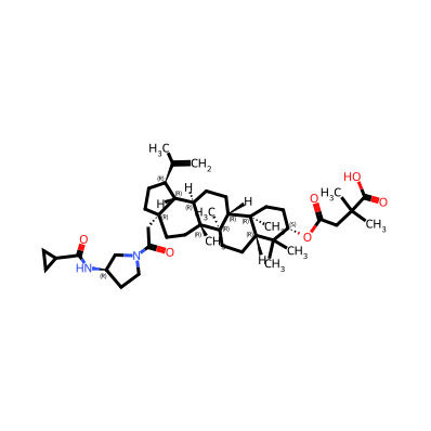 C=C(C)[C@@H]1CC[C@]2(CC(=O)N3CC[C@@H](NC(=O)C4CC4)C3)CC[C@]3(C)[C@H](CC[C@@H]4[C@@]5(C)CC[C@H](OC(=O)CC(C)(C)C(=O)O)C(C)(C)[C@@H]5CC[C@]43C)[C@@H]12